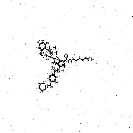 CCCCCCOC(=O)n1nc(NC(=O)c2ccc(CN3CCCCC3)cc2)c2cc(C(=O)NC(C)(C)c3ccccc3Cl)sc21